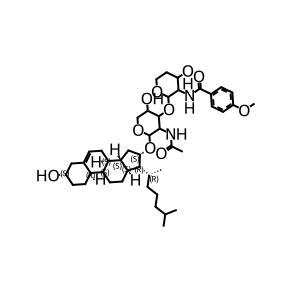 COc1ccc(C(=O)NC2C(O)CCOC2OC2C(O)COC(O[C@H]3C[C@@H]4[C@H](CC[C@H]5[C@H]4CC=C4C[C@@H](O)CC[C@@]45C)[C@H]3[C@H](C)CCCC(C)C)C2NC(C)=O)cc1